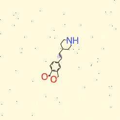 O=C1OCc2cc(/C=C/C3CCNCC3)ccc21